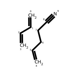 C=CC=C.C=CCCC#N